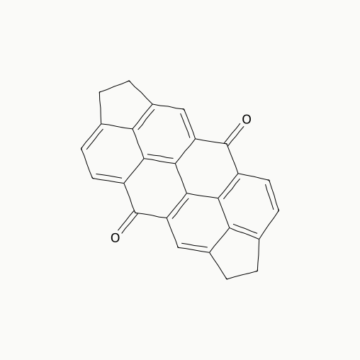 O=c1c2cc3c4c(ccc5c(=O)c6cc7c8c(ccc1c8c6-c2c45)CC7)CC3